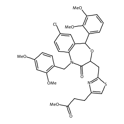 COC(=O)CCc1csc(CC2OC(c3cccc(OC)c3OC)c3cc(Cl)ccc3N(Cc3ccc(OC)cc3OC)C2=O)n1